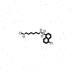 O=S(=O)(NCCCCCCNCl)c1cccc2c(Cl)cccc12